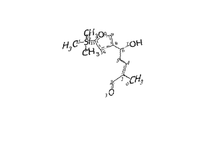 CC(C=O)=CCC(O)c1coc([Si](C)(C)C)c1